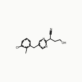 N#CC(CCO)c1ncc(Cc2cccc(Cl)c2F)cn1